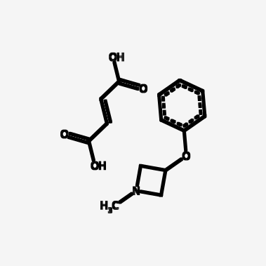 CN1CC(Oc2ccccc2)C1.O=C(O)C=CC(=O)O